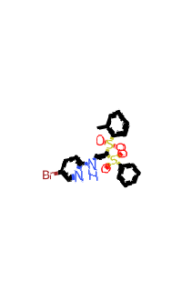 Cc1ccccc1S(=O)(=O)C(=CNc1ccc(Br)cn1)S(=O)(=O)c1ccccc1